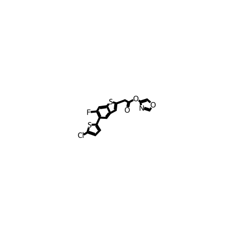 O=C(Cc1cc2cc(-c3ccc(Cl)s3)c(F)cc2s1)Oc1cocn1